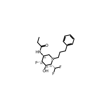 CCC(=O)N[C@H]1CN(CCCc2ccccc2)[C@H](C(F)F)[C@@H](O)[C@@H]1F